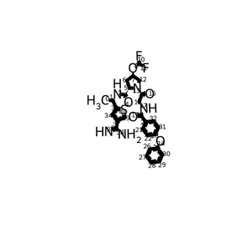 CC(NC(=O)[C@@H]1C[C@@H](OC(F)F)CN1C(=O)CNC(=O)c1ccc(Oc2ccccc2)cc1)c1cc(C(=N)N)cs1